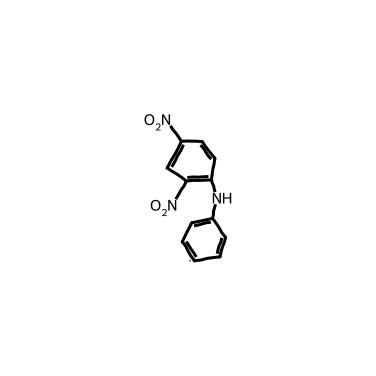 O=[N+]([O-])c1ccc(Nc2cc[c]cc2)c([N+](=O)[O-])c1